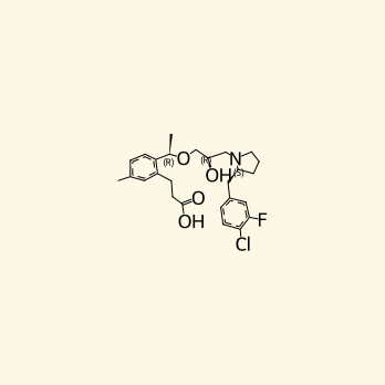 Cc1ccc([C@@H](C)OC[C@H](O)CN2CCC[C@H]2Cc2ccc(Cl)c(F)c2)c(CCC(=O)O)c1